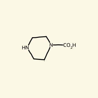 O=C(O)N1[CH]CNCC1